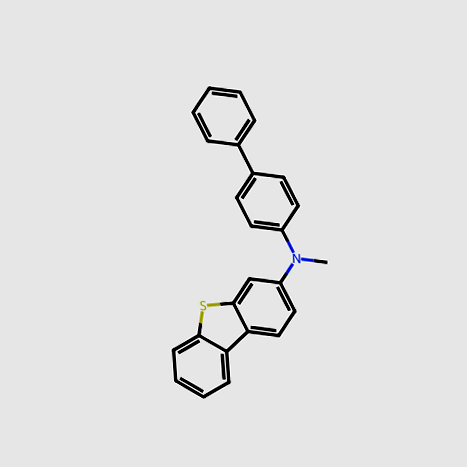 CN(c1ccc(-c2ccccc2)cc1)c1ccc2c(c1)sc1ccccc12